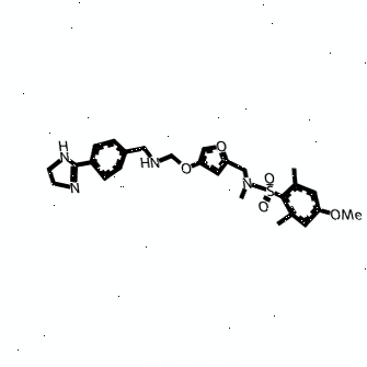 COc1cc(C)c(S(=O)(=O)N(C)Cc2cc(OCNCc3ccc(C4=NCCN4)cc3)co2)c(C)c1